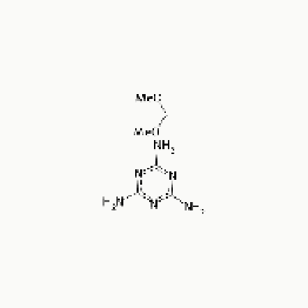 COCOC.Nc1nc(N)nc(N)n1